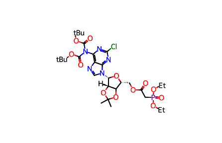 CCOP(=O)(CC(=O)OC[C@H]1O[C@@H](n2cnc3c(N(C(=O)OC(C)(C)C)C(=O)OC(C)(C)C)nc(Cl)nc32)[C@H]2OC(C)(C)OC12)OCC